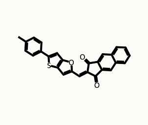 Cc1ccc(-c2cc3oc(C=C4C(=O)c5cc6ccccc6cc5C4=O)cc3s2)cc1